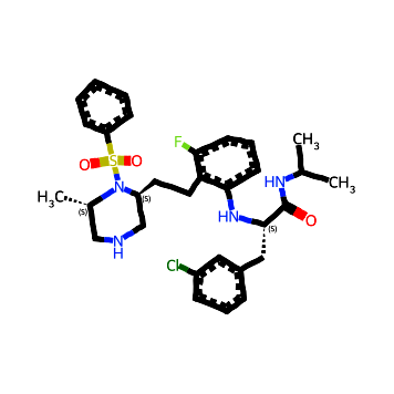 CC(C)NC(=O)[C@H](Cc1cccc(Cl)c1)Nc1cccc(F)c1CC[C@H]1CNC[C@H](C)N1S(=O)(=O)c1ccccc1